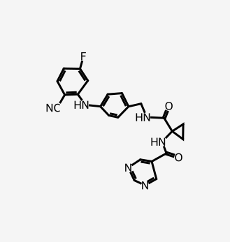 N#Cc1ccc(F)cc1Nc1ccc(CNC(=O)C2(NC(=O)c3cncnc3)CC2)cc1